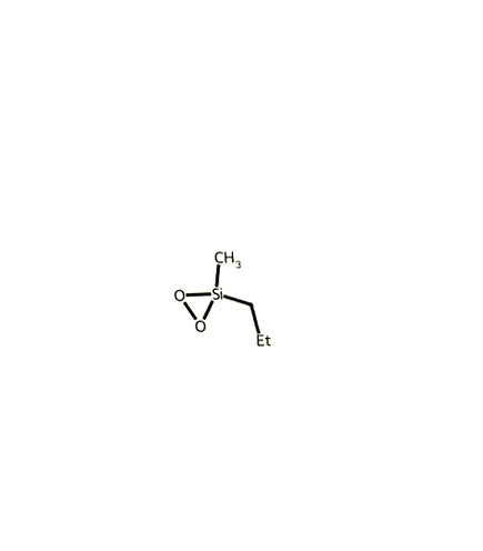 CCC[Si]1(C)OO1